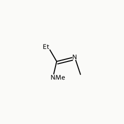 CCC(=NC)NC